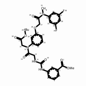 COC(=O)c1cccc(NC(=O)NCC(=O)N(CC(=O)OC(C)(C)C)c2cccc(OCC(=O)N(C)c3cc(F)cc(F)c3)c2)c1